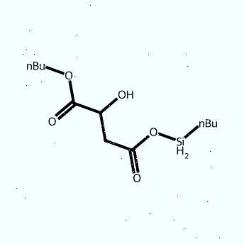 CCCCOC(=O)C(O)CC(=O)O[SiH2]CCCC